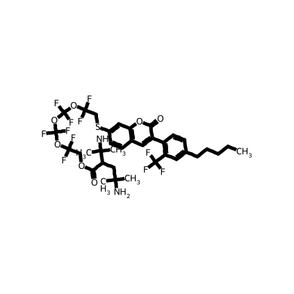 CCCCCc1ccc(-c2cc3ccc(SCC(F)(F)OC(F)(F)OC(F)(F)OC(F)(F)COC(=O)C(CC(C)(C)N)C(C)(C)N)cc3oc2=O)c(C(F)(F)F)c1